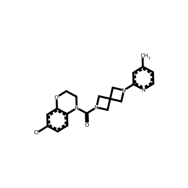 Cc1ccnc(N2CC3(CN(C(=O)N4CCOc5cc(Cl)ccc54)C3)C2)c1